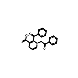 O=C(O)C1=C(C(=O)c2ccccc2)N(CC(=O)c2ccccc2)C=CC1